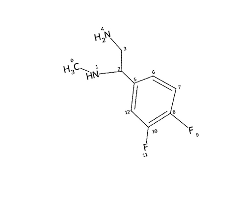 CNC(CN)c1ccc(F)c(F)c1